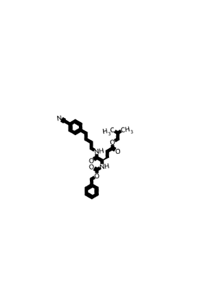 CC(C)COC(=O)CC[C@@H](NC(=O)OCc1ccccc1)C(=O)NCCCCc1ccc(C#N)cc1